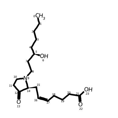 CCCCC[C@@H](O)CCN1CCC(=O)[C@@H]1C/C=C\CCCC(=O)O